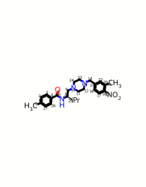 Cc1ccc(C(=O)N[C@@H](CN2CCN(Cc3ccc([N+](=O)[O-])c(C)c3)CC2)C(C)C)cc1